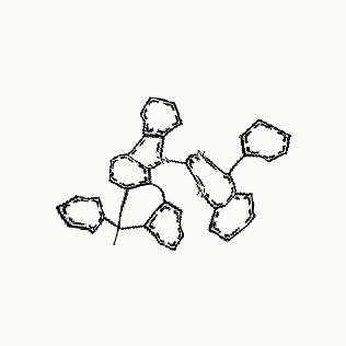 CC1(c2ccccc2)c2ccccc2-c2c1ccc1c3ccccc3n(-c3nc(-c4ccccc4)c4ccccc4n3)c21